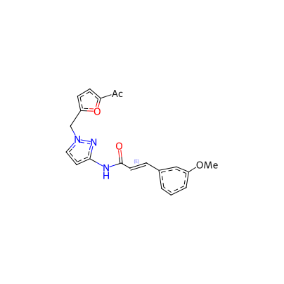 COc1cccc(/C=C/C(=O)Nc2ccn(Cc3ccc(C(C)=O)o3)n2)c1